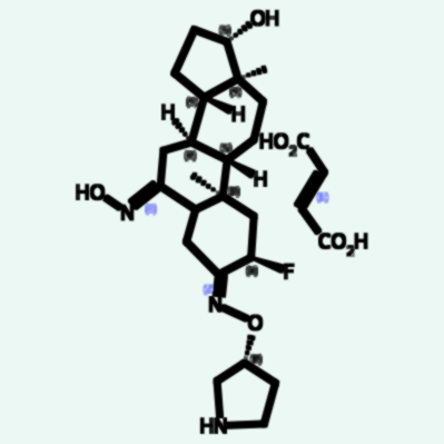 C[C@]12CC[C@H]3[C@@H](C/C(=N\O)C4C/C(=N/O[C@@H]5CCNC5)[C@H](F)C[C@@]43C)[C@@H]1CC[C@@H]2O.O=C(O)/C=C/C(=O)O